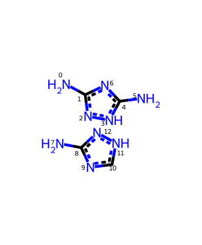 Nc1n[nH]c(N)n1.Nc1nc[nH]n1